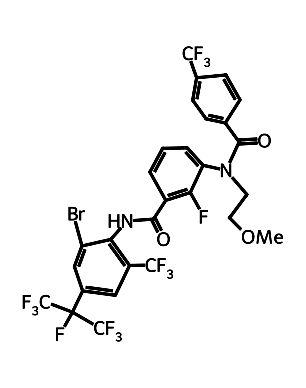 COCCN(C(=O)c1ccc(C(F)(F)F)cc1)c1cccc(C(=O)Nc2c(Br)cc(C(F)(C(F)(F)F)C(F)(F)F)cc2C(F)(F)F)c1F